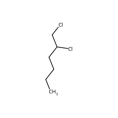 CCCCC(Cl)CCl